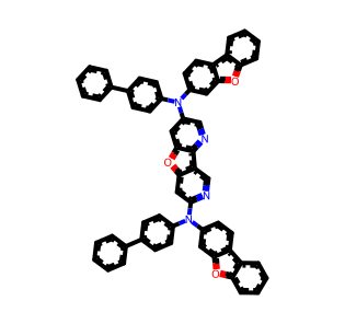 c1ccc(-c2ccc(N(c3ccc4c(c3)oc3ccccc34)c3cnc4c(c3)oc3cc(N(c5ccc(-c6ccccc6)cc5)c5ccc6c(c5)oc5ccccc56)ncc34)cc2)cc1